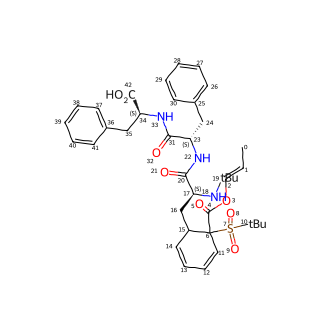 CC=COC(=O)C1(S(=O)(=O)C(C)(C)C)C=CC=CC1C[C@H](NC(C)(C)C)C(=O)N[C@@H](Cc1ccccc1)C(=O)N[C@@H](Cc1ccccc1)C(=O)O